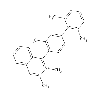 Cc1cc(-c2c(C)cccc2C)ccc1-c1c2ccccc2cc(C)[n+]1C